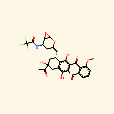 COc1cccc(C=O)c1C(=O)c1c(C)c(O)c2c(c1O)[C@@H](CC1CC(NC(=O)C(F)(F)F)C3OC3O1)CC(O)(C(C)=O)C2